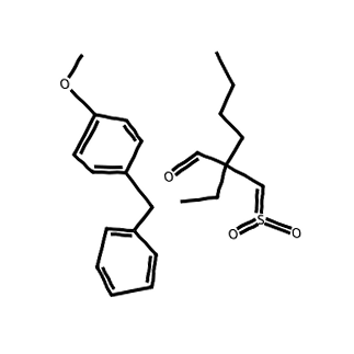 CCCCC(C=O)(C=S(=O)=O)CC.COc1ccc(Cc2ccccc2)cc1